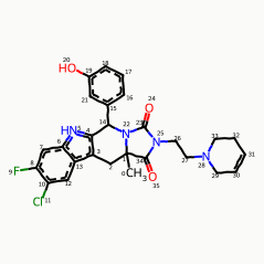 CC12Cc3c([nH]c4cc(F)c(Cl)cc34)C(c3cccc(O)c3)N1C(=O)N(CCN1CC=CCC1)C2=O